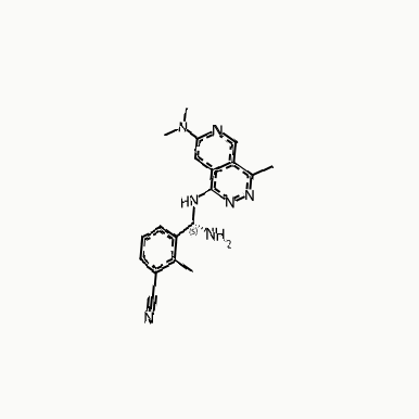 Cc1c(C#N)cccc1[C@@H](N)Nc1nnc(C)c2cnc(N(C)C)cc12